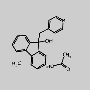 CC(=O)O.O.OC1(Cc2ccncc2)c2ccccc2-c2ccccc21